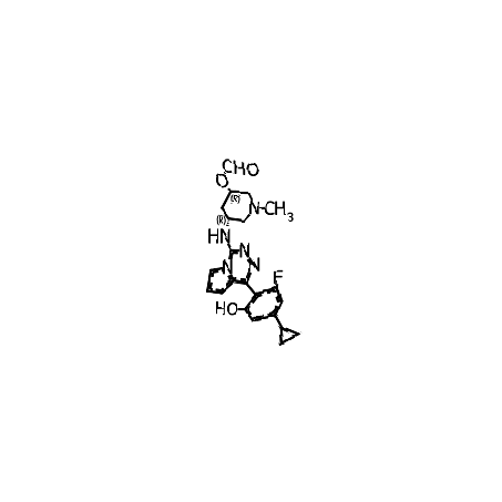 CN1C[C@H](Nc2nnc(-c3c(O)cc(C4CC4)cc3F)c3cccn23)C[C@@H](OC=O)C1